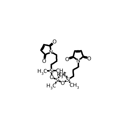 C[Si](C)(CCCN1C(=O)C=CC1=O)O[Si](C)(C)O[Si](C)(C)CCCN1C(=O)C=CC1=O